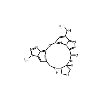 CNc1cc2nn3c(cnc13)C(=O)N[C@@H]1COC[C@H]1OCc1cc(c3nnn(C)c3c1)O2